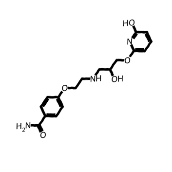 NC(=O)c1ccc(OCCNCC(O)COc2cccc(O)n2)cc1